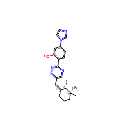 CCC[C@]1(C)CCC/C(=C/c2cnc(-c3ccc(-n4ccnc4)cc3O)nn2)[C@@H]1F